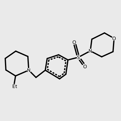 CCC1CCCCN1Cc1ccc(S(=O)(=O)N2CCOCC2)cc1